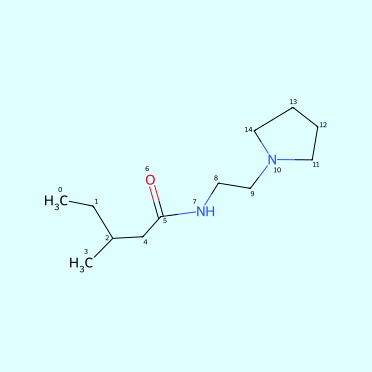 CCC(C)CC(=O)NCCN1CCCC1